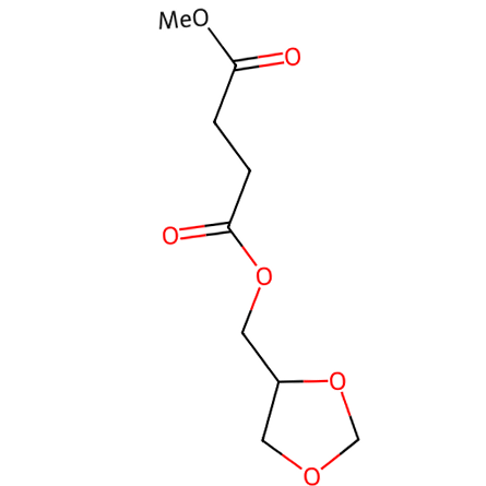 COC(=O)CCC(=O)OCC1COCO1